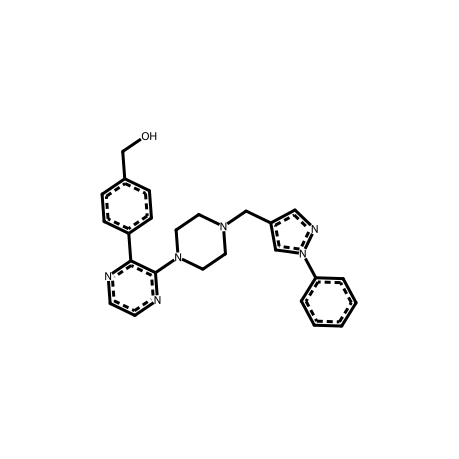 OCc1ccc(-c2nccnc2N2CCN(Cc3cnn(-c4ccccc4)c3)CC2)cc1